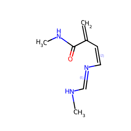 C=C(/C=C\N=C\NC)C(=O)NC